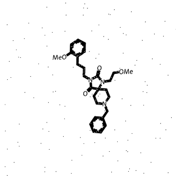 COCCN1C(=O)N(CCCc2ccccc2OC)C(=O)C12CCN(Cc1ccccc1)CC2